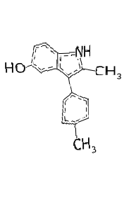 Cc1ccc(-c2c(C)[nH]c3ccc(O)cc23)cc1